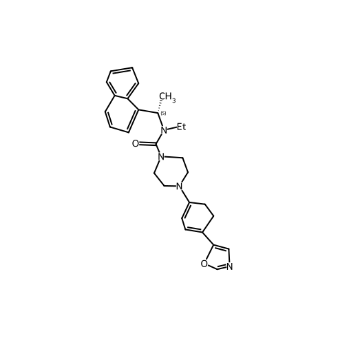 CCN(C(=O)N1CCN(C2=CC=C(c3cnco3)CC2)CC1)[C@@H](C)c1cccc2ccccc12